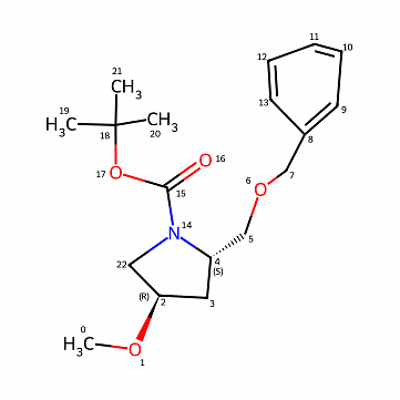 CO[C@@H]1C[C@@H](COCc2ccccc2)N(C(=O)OC(C)(C)C)C1